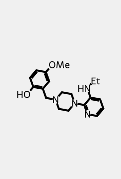 CCNc1cccnc1N1CCN(Cc2cc(OC)ccc2O)CC1